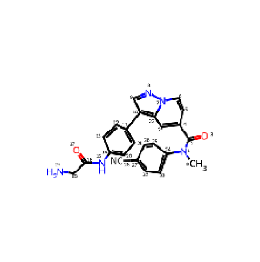 CN(C(=O)c1ccn2ncc(-c3ccc(NC(=O)CN)cc3)c2c1)c1ccc(C#N)cc1